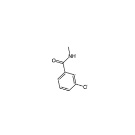 CNC(=O)c1[c]c(Cl)ccc1